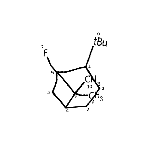 CC(C)(C)C1CCC2CC1(F)C2(C)C